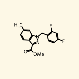 COC(=O)c1nn(Cc2ccc(F)cc2F)c2cc(C)ccc12